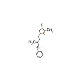 C=C(/C=C/c1ccccc1)CCC1CC(F)C(C)S1